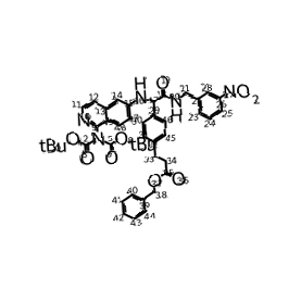 CC(C)(C)OC(=O)N(C(=O)OC(C)(C)C)c1nccc2cc(NC(C(=O)NCc3cccc([N+](=O)[O-])c3)c3ccc(CCC(=O)OCc4ccccc4)cc3)ccc12